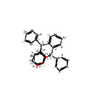 C1=CC(P(c2ccccc2)c2ccccc2P(c2ccccc2)c2ccccc2)=CCC1